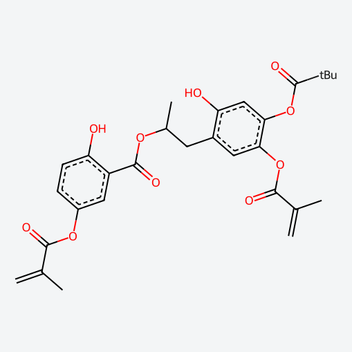 C=C(C)C(=O)Oc1ccc(O)c(C(=O)OC(C)Cc2cc(OC(=O)C(=C)C)c(OC(=O)C(C)(C)C)cc2O)c1